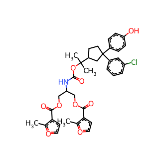 Cc1occc1C(=O)OCC(COC(=O)c1ccoc1C)NC(=O)OC(C)(C)C1CCC(c2ccc(O)cc2)(c2cccc(Cl)c2)C1